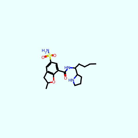 CCCCC(NC(=O)c1cc(S(N)(=O)=O)cc2c1OC(C)C2)C1CCCN1